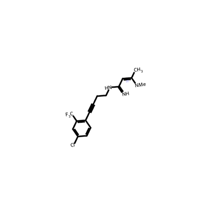 CN/C(C)=C\C(=N)NCCC#Cc1ccc(Cl)cc1C(F)(F)F